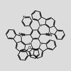 N#Cc1c(-c2ccncc2)c(-n2c3ccccc3c3ccc4c5ccccc5oc4c32)c(C#N)c(-n2c3ccccc3c3ccc4c5ccccc5oc4c32)c1-n1c2ccccc2c2ccc3c4ccccc4oc3c21